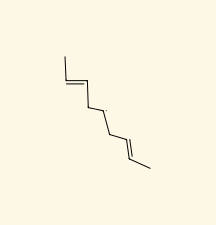 C/C=C/C[CH]C/C=C/C